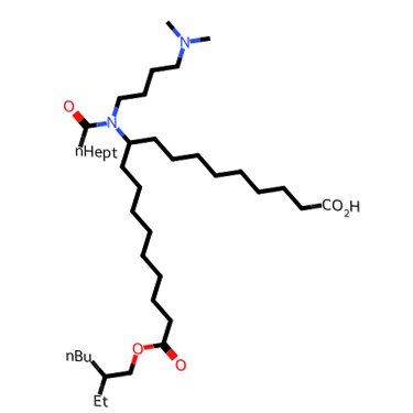 CCCCCCCC(=O)N(CCCCN(C)C)C(CCCCCCCCC(=O)O)CCCCCCCCC(=O)OCC(CC)CCCC